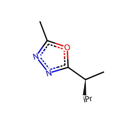 Cc1nnc([C@@H](C)C(C)C)o1